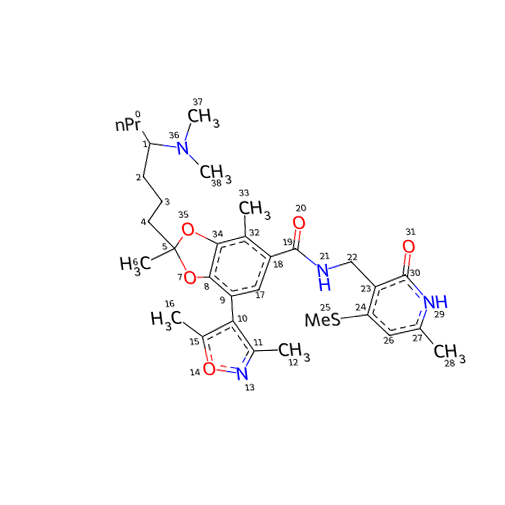 CCCC(CCCC1(C)Oc2c(-c3c(C)noc3C)cc(C(=O)NCc3c(SC)cc(C)[nH]c3=O)c(C)c2O1)N(C)C